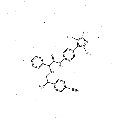 Cc1nn(C)c(C)c1-c1ccc(NC(=O)[C@@H](NCC(C)c2ccc(C#N)cc2)c2ccccc2)nc1